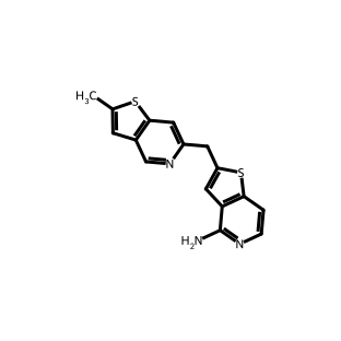 Cc1cc2cnc(Cc3cc4c(N)nccc4s3)cc2s1